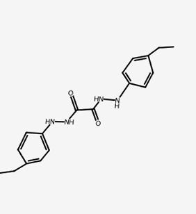 CCc1ccc(NNC(=O)C(=O)NNc2ccc(CC)cc2)cc1